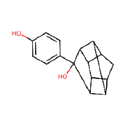 Oc1ccc(C2(O)C3C4C5CC6C4C2C6C53)cc1